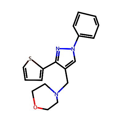 c1ccc(-n2cc(CN3CCOCC3)c(-c3cccs3)n2)cc1